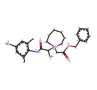 CCCC(C(=O)Nc1c(C)cc(C#N)cc1C)[PH]1(CC(=O)OCc2ccccc2)CCCCCC1